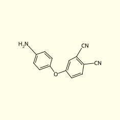 N#Cc1ccc(Oc2ccc(N)cc2)cc1C#N